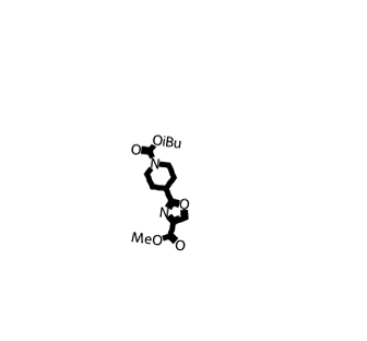 COC(=O)c1coc(C2CCN(C(=O)OCC(C)C)CC2)n1